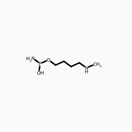 CNCCCCOP(N)O